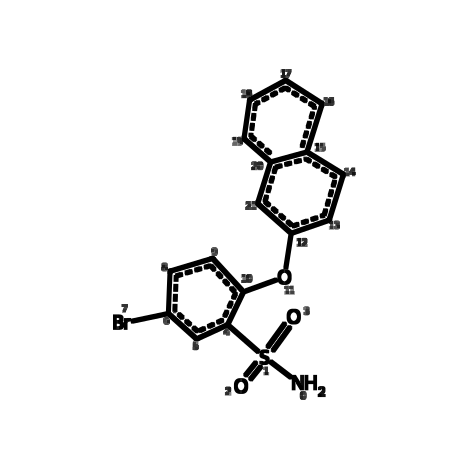 NS(=O)(=O)c1cc(Br)ccc1Oc1ccc2ccccc2c1